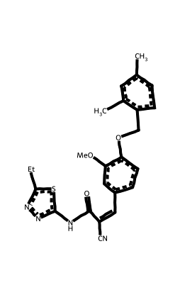 CCc1nnc(NC(=O)C(C#N)=Cc2ccc(OCc3ccc(C)cc3C)c(OC)c2)s1